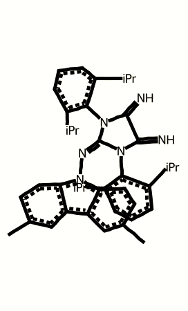 Cc1ccc2c(c1)c1cc(C)ccc1n2N=C1N(c2c(C(C)C)cccc2C(C)C)C(=N)C(=N)N1c1c(C(C)C)cccc1C(C)C